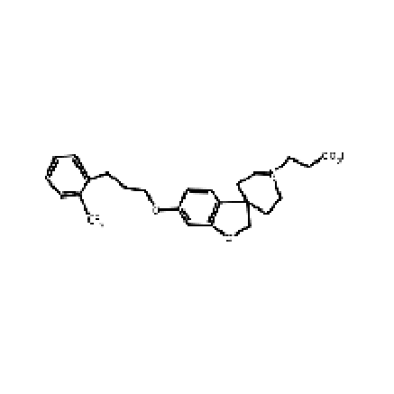 O=C(O)CCN1CCC2(CC1)COc1cc(OCCCc3ccccc3C(F)(F)F)ccc12